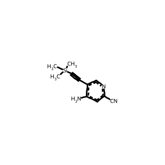 C[Si](C)(C)C#Cc1cnc(C#N)cc1N